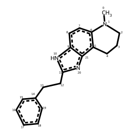 CN1CCCc2c1ccc1[nH]c(CCc3ccccc3)nc21